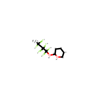 FC(F)(F)C(F)(F)C(F)(F)C(F)(F)OC1CCCCO1